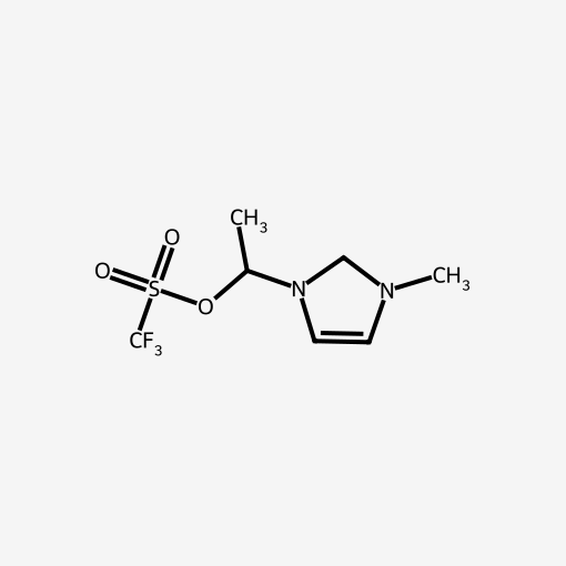 CC(OS(=O)(=O)C(F)(F)F)N1C=CN(C)C1